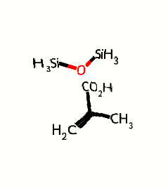 C=C(C)C(=O)O.[SiH3]O[SiH3]